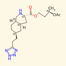 CC(=O)O[C@H](C)CCOC(=O)[C@@H]1C[C@H]2C[C@@H](CCc3nn[nH]n3)CC[C@H]2CN1